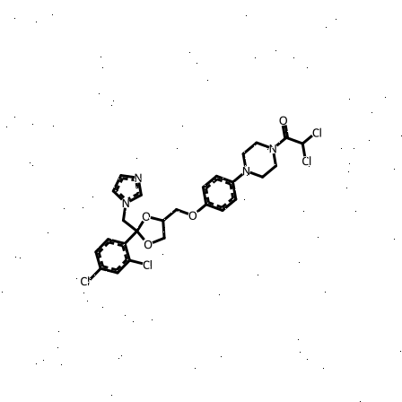 O=C(C(Cl)Cl)N1CCN(c2ccc(OCC3COC(Cn4ccnc4)(c4ccc(Cl)cc4Cl)O3)cc2)CC1